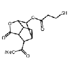 COC(=O)C1C2CC3C(OC(=O)C31)C2OC(=O)CCS